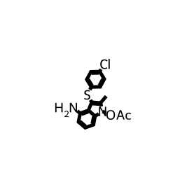 CC(=O)On1c(C)c(Sc2ccc(Cl)cc2)c2c(N)cccc21